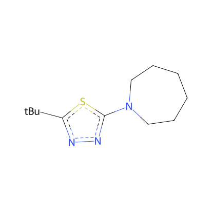 CC(C)(C)c1nnc(N2CCCCCC2)s1